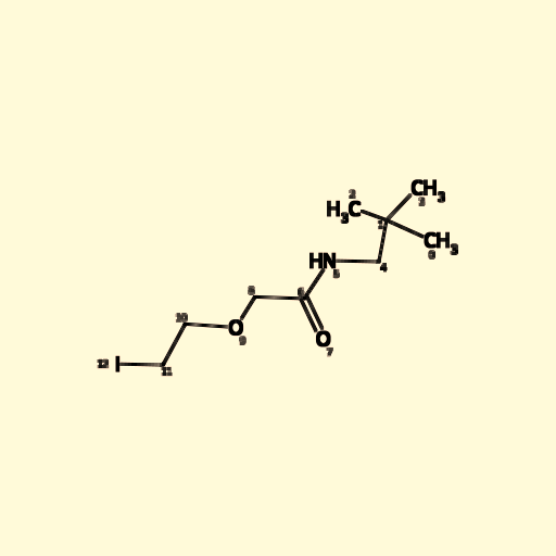 CC(C)(C)CNC(=O)COCCI